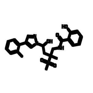 Cc1ccccc1-c1cnn(C(O)CC(C)(CNC(=O)c2ccccc2O)S(C)(=O)=O)c1